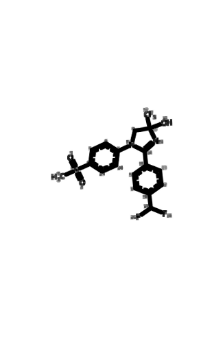 CS(=O)(=O)c1ccc(N2CC(O)(C(F)(F)F)N=C2c2ccc(C(F)F)cc2)cc1